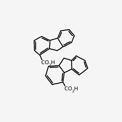 O=C(O)c1cccc2c1-c1ccccc1C2.O=C(O)c1cccc2c1Cc1ccccc1-2